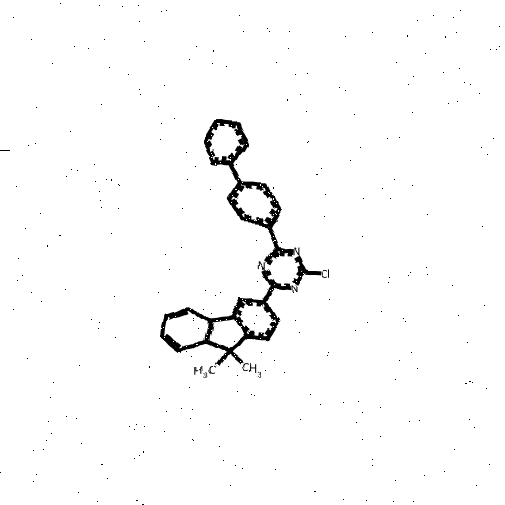 CC1(C)c2ccc(-c3nc(Cl)nc(-c4ccc(-c5ccccc5)cc4)n3)cc2C2C=CC=CC21